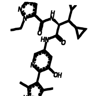 CCn1nccc1C(=O)N[C@H](C(=O)Nc1cnc(-c2c(C)n[nH]c2C)c(O)c1)C(C1CC1)C1CC1